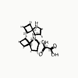 C1CNC2(C1)CCC2.C1CNC2(C1)CCC2.O=C(O)C(=O)O